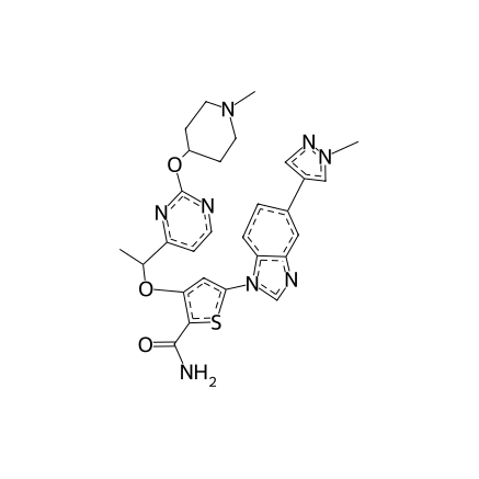 CC(Oc1cc(-n2cnc3cc(-c4cnn(C)c4)ccc32)sc1C(N)=O)c1ccnc(OC2CCN(C)CC2)n1